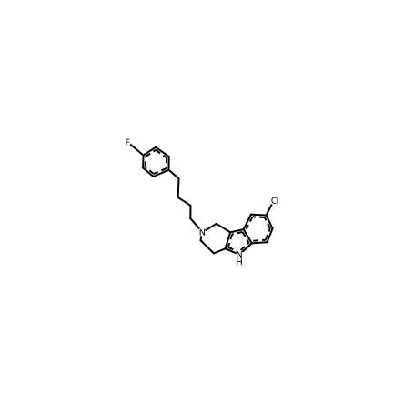 Fc1ccc(CCCCN2CCc3[nH]c4ccc(Cl)cc4c3C2)cc1